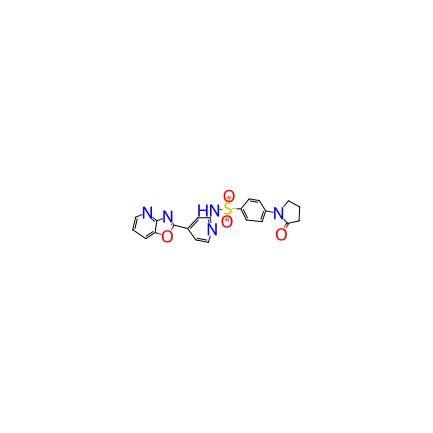 O=C1CCCN1c1ccc(S(=O)(=O)Nc2cc(-c3nc4ncccc4o3)ccn2)cc1